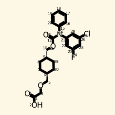 O=C(O)COC[C@H]1CC[C@H](COC(=O)N(c2ccccc2)c2cc(F)cc(Cl)c2)CC1